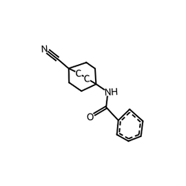 N#CC12CCC(NC(=O)c3ccccc3)(CC1)CC2